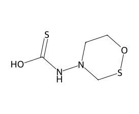 OC(=S)NN1CCOSC1